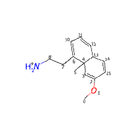 COC1=CC2(C)C(CCN)=CC=CC2C=C1